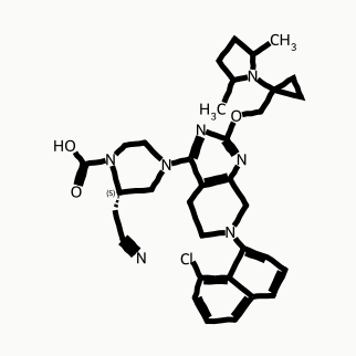 CC1CCC(C)N1C1(COc2nc3c(c(N4CCN(C(=O)O)[C@@H](CC#N)C4)n2)CCN(c2cccc4cccc(Cl)c24)C3)CC1